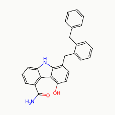 NC(=O)c1cccc2[nH]c3c(Cc4ccccc4Cc4ccccc4)ccc(O)c3c12